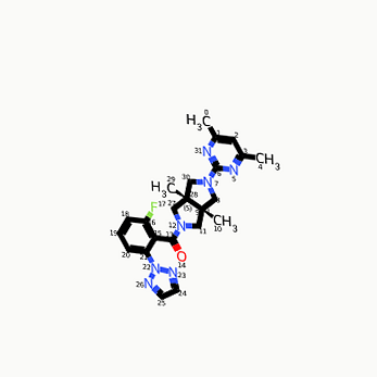 Cc1cc(C)nc(N2C[C@]3(C)CN(C(=O)c4c(F)cccc4-n4nccn4)C[C@]3(C)C2)n1